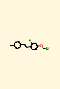 Cc1ccc(/C=C/c2ccc(OCBr)cc2F)cc1